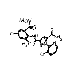 CNC(=O)c1cc(Cl)cc(C)c1NC(=O)c1cc(C(N)=O)n(-c2ncccc2Cl)n1